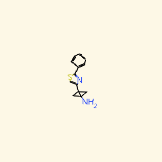 NC12CC1(c1csc(-c3ccccc3)n1)C2